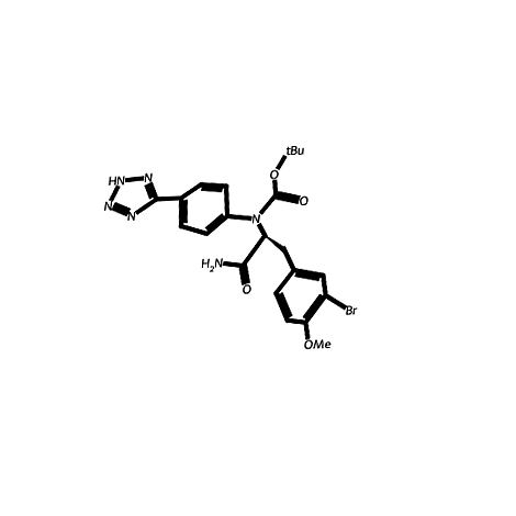 COc1ccc(C[C@@H](C(N)=O)N(C(=O)OC(C)(C)C)c2ccc(-c3nn[nH]n3)cc2)cc1Br